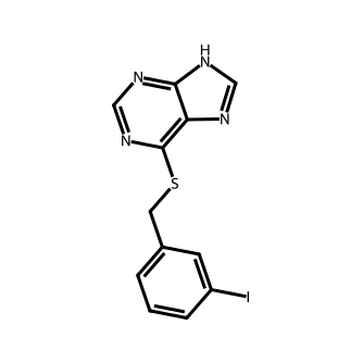 Ic1cccc(CSc2ncnc3[nH]cnc23)c1